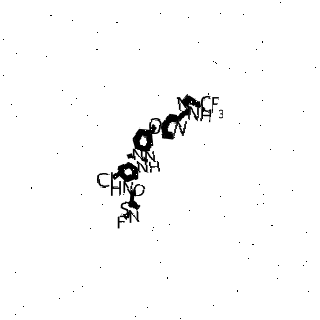 Cn1c(Nc2ccc(Cl)c(NC(=O)c3cnc(F)s3)c2)nc2cc(Oc3ccnc(-c4ncc(C(F)(F)F)[nH]4)c3)ccc21